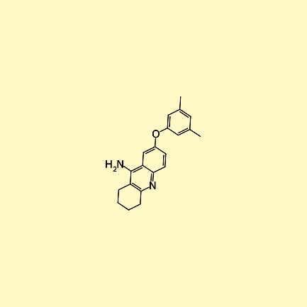 Cc1cc(C)cc(Oc2ccc3nc4c(c(N)c3c2)CCCC4)c1